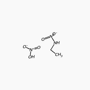 CCN[N+](=O)[O-].O=[N+]([O-])O